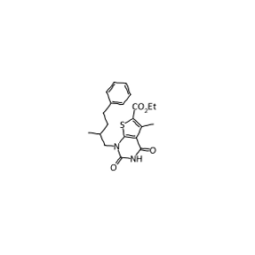 CCOC(=O)c1sc2c(c1C)c(=O)[nH]c(=O)n2CC(C)CCc1ccccc1